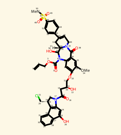 C=CCOC(=O)N1c2cc(OC[C@@H](O)CC(=O)N3C[C@@H](CCl)c4c3cc(O)c3ccccc43)c(OC)cc2C(=O)N2CC=C(c3ccc(S(=O)(=O)NC)cc3)C[C@H]2C1O